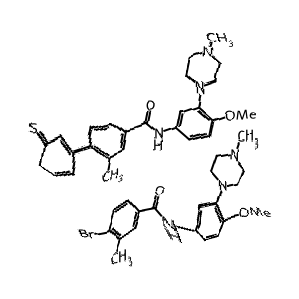 COc1ccc(NC(=O)c2ccc(Br)c(C)c2)cc1N1CCN(C)CC1.COc1ccc(NC(=O)c2ccc(C3=CC(=S)CC=C3)c(C)c2)cc1N1CCN(C)CC1